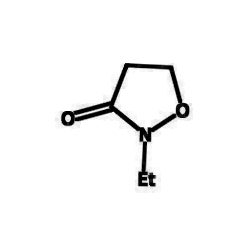 CCN1OCCC1=O